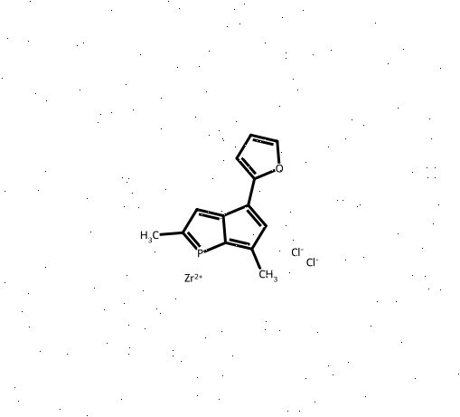 CC1=PC2=C(C)C=C(c3ccco3)C2=C1.[Cl-].[Cl-].[Zr+2]